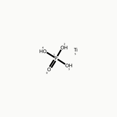 O=P(O)(O)O.[Ti]